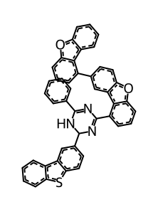 c1ccc(C2=NC(c3cccc4oc5ccc(-c6cccc7oc8ccccc8c67)cc5c34)=NC(c3ccc4sc5ccccc5c4c3)N2)cc1